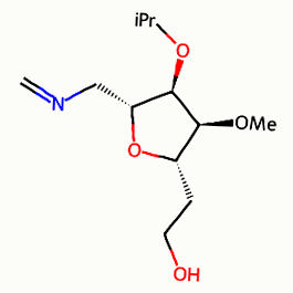 C=NC[C@H]1O[C@@H](CCO)[C@H](OC)[C@@H]1OC(C)C